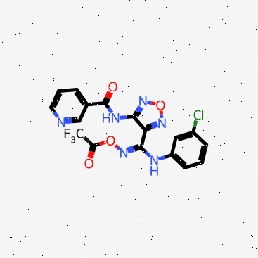 O=C(Nc1nonc1/C(=N\OC(=O)C(F)(F)F)Nc1cccc(Cl)c1)c1cccnc1